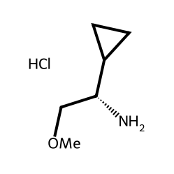 COC[C@@H](N)C1CC1.Cl